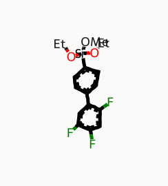 CCO[Si](OC)(OCC)c1ccc(-c2cc(F)c(F)cc2F)cc1